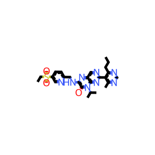 CCCc1ncnc(C)c1-c1ncc2nc(NCc3ccc(S(=O)(=O)CC)cn3)c(=O)n(C(C)C)c2n1